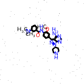 COc1cc(-c2nn(C3CCNCC3)c3ncnc(N)c23)ccc1NC(=O)c1cccc(N(C)C)c1